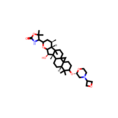 C[C@@H]1CC(C2NC(=O)OC2(C)C)OC2[C@H]1C1(C)CCC34CC35CCC(O[C@H]3CN(C6COC6)CCO3)C(C)(C)[C@@H]5CCC4[C@]1(C)[C@H]2O